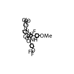 COc1cc(F)c(-c2c(NC(=O)c3ccc(OC(F)F)cc3)c(=O)n(-c3nc(N4CCN(S(C)(=O)=O)CC4)ccc3C(F)(F)F)n2C)c(F)c1